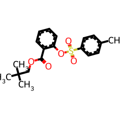 Cc1ccc(S(=O)(=O)Oc2ccccc2C(=O)OCC(C)(C)C)cc1